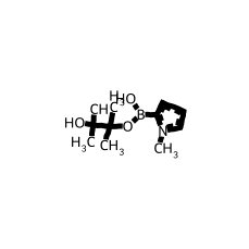 Cn1cccc1B(O)OC(C)(C)C(C)(C)O